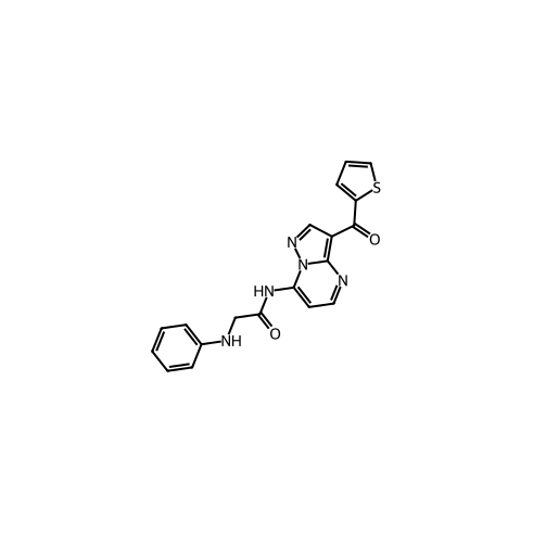 O=C(CNc1ccccc1)Nc1ccnc2c(C(=O)c3cccs3)cnn12